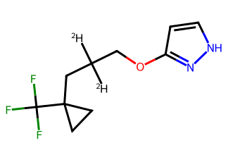 [2H]C([2H])(COc1cc[nH]n1)CC1(C(F)(F)F)CC1